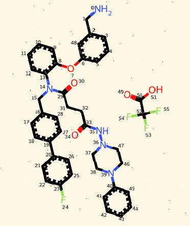 NCc1cccc(Oc2ccccc2N(Cc2ccc(-c3ccc(F)cc3)cc2)C(=O)CCC(=O)NN2CCN(c3ccccc3)CC2)c1.O=C(O)C(F)(F)F